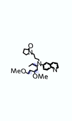 C\C=C(/C=C(\C=C\OC)OC)N(CCCN1CCCC1=O)c1ccc2ncccc2c1